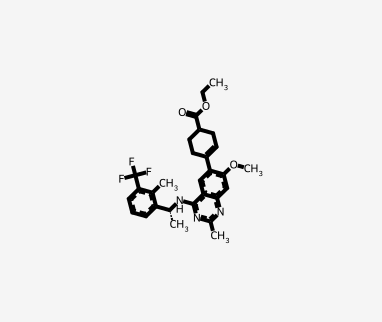 CCOC(=O)C1CC=C(c2cc3c(N[C@H](C)c4cccc(C(F)(F)F)c4C)nc(C)nc3cc2OC)CC1